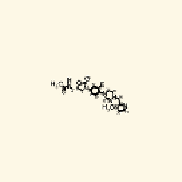 CC(=O)NC[C@H]1CN(c2ccc(N3C=NN(Cc4nccn4C)CC3)c(F)c2)C(=O)O1